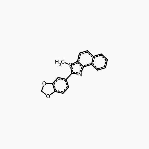 Cn1c(-c2ccc3c(c2)OCO3)nc2c3ccccc3ccc21